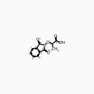 CC(ON1C(=O)c2ccccc2C1=O)C(=O)O